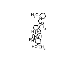 C[C@@H]1CCCCN1CC(=O)[C@H]1CC[C@H]2[C@@H]3C[C@@H](F)[C@H]4C[C@](C)(O)CC[C@@H]4[C@H]3CC[C@]12C